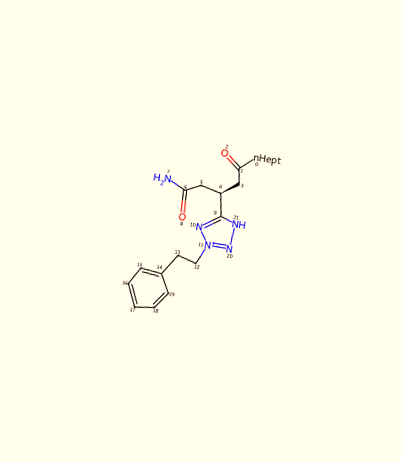 CCCCCCCC(=O)C[C@H](CC(N)=O)c1n[n+](CCc2ccccc2)n[nH]1